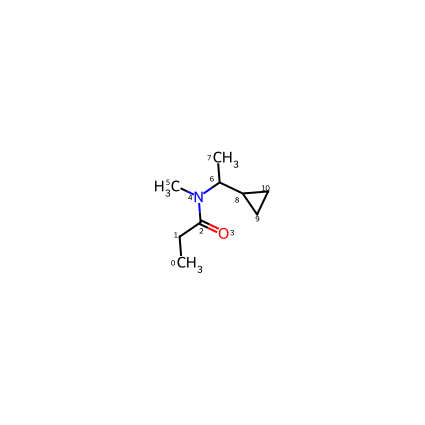 CCC(=O)N(C)C(C)C1CC1